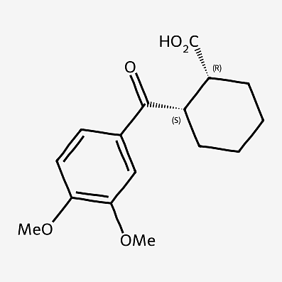 COc1ccc(C(=O)[C@H]2CCCC[C@H]2C(=O)O)cc1OC